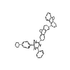 c1ccc(-c2ccc(-c3nc(-c4ccccc4)nc(-c4ccc5c(c4)oc4ccc(-c6cccc7oc8ccccc8c67)cc45)n3)cc2)cc1